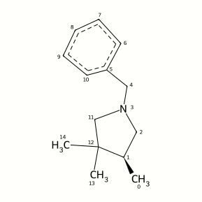 C[C@@H]1CN(Cc2ccccc2)CC1(C)C